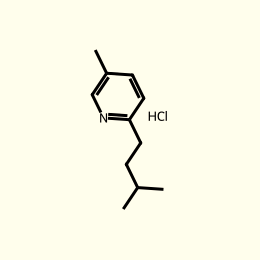 Cc1ccc(CCC(C)C)nc1.Cl